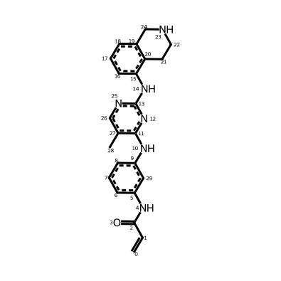 C=CC(=O)Nc1cccc(Nc2nc(Nc3cccc4c3CCNC4)ncc2C)c1